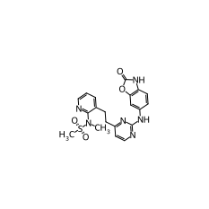 CN(c1ncccc1CCc1ccnc(Nc2ccc3[nH]c(=O)oc3c2)n1)S(C)(=O)=O